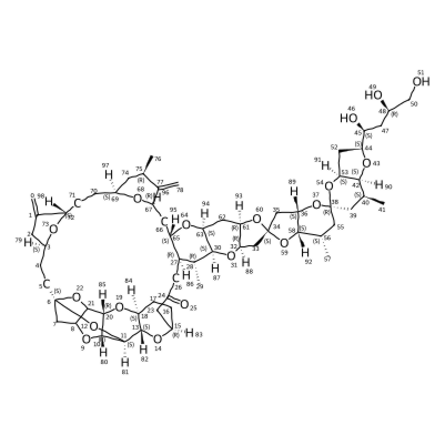 C=C1C[C@@H]2CC[C@@]34CC5O[C@H]6[C@@H](O3)[C@H]3O[C@H](CC[C@@H]3O[C@H]6C5O4)CC(=O)C[C@@H]3[C@@H](C)[C@@H]4O[C@@H]5C[C@]6(C[C@@H]7O[C@]8(C[C@H](C)[C@@H]9O[C@H]([C@@H](O)C[C@@H](O)CO)C[C@@H]9O8)C[C@H](C)[C@@H]7O6)O[C@@H]5C[C@@H]4O[C@H]3C[C@H]3O[C@@H](CC[C@@H]1O2)C[C@@H](C)C3=C